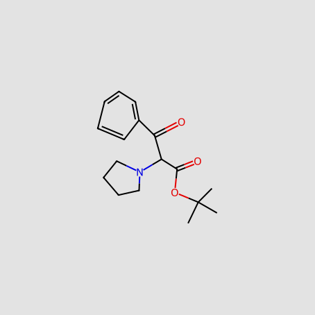 CC(C)(C)OC(=O)C(C(=O)c1ccccc1)N1CCCC1